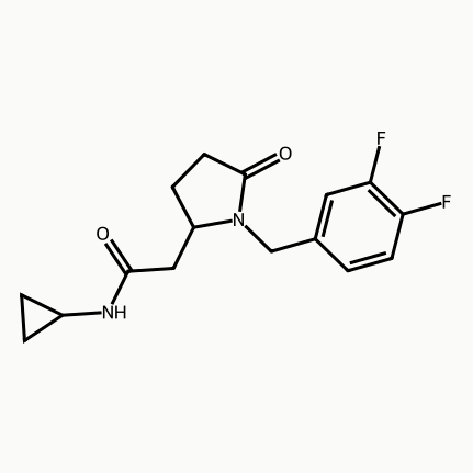 O=C(CC1CCC(=O)N1Cc1ccc(F)c(F)c1)NC1CC1